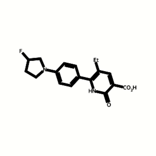 CCc1cc(C(=O)O)c(=O)[nH]c1-c1ccc(N2CCC(F)C2)cc1